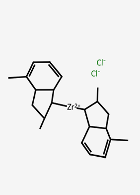 CC1=CC=CC2C1CC(C)[CH]2[Zr+2][CH]1C(C)CC2C(C)=CC=CC21.[Cl-].[Cl-]